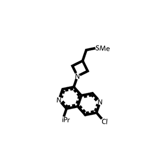 CSCC1CN(c2cnc(C(C)C)c3cc(Cl)ncc23)C1